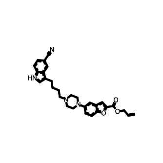 C=CCOC(=O)c1cc2cc(N3CCN(CCCCc4c[nH]c5ccc(C#N)cc45)CC3)ccc2o1